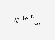 [Co].[Fe].[Ni].[Ti]